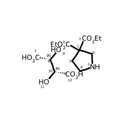 CCOC(=O)C1(C(=O)OCC)CCNC1.O=C(O)[C@H](O)[C@@H](O)C(=O)O